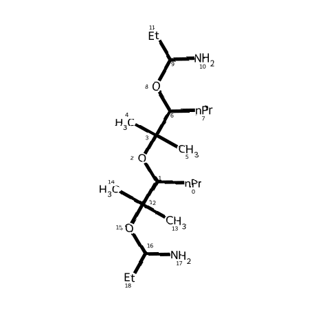 CCCC(OC(C)(C)C(CCC)OC(N)CC)C(C)(C)OC(N)CC